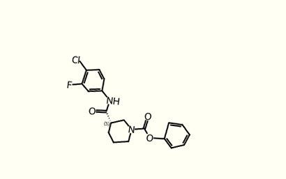 O=C(Nc1ccc(Cl)c(F)c1)[C@H]1CCCN(C(=O)Oc2ccccc2)C1